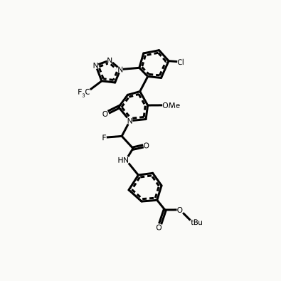 COc1cn(C(F)C(=O)Nc2ccc(C(=O)OC(C)(C)C)cc2)c(=O)cc1-c1cc(Cl)ccc1-n1cc(C(F)(F)F)nn1